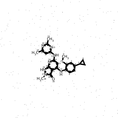 CSc1cc(C2CC2)ccc1Nc1cc(Nc2cc(C)nc(C)n2)nc2[nH]n(C)c(=O)c12